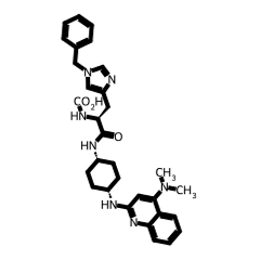 CN(C)c1cc(N[C@H]2CC[C@@H](NC(=O)[C@H](Cc3cn(Cc4ccccc4)cn3)NC(=O)O)CC2)nc2ccccc12